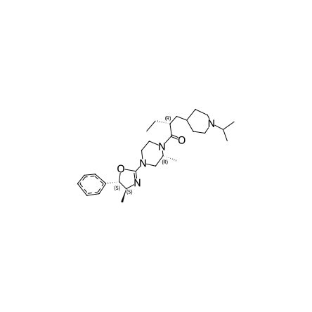 CC[C@H](CC1CCN(C(C)C)CC1)C(=O)N1CCN(C2=N[C@@H](C)[C@H](c3ccccc3)O2)C[C@H]1C